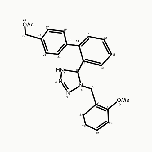 COC1=C(CN2N=NNC2c2ccccc2-c2ccc(COC(C)=O)cc2)CCC=C1